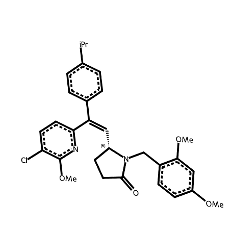 COc1ccc(CN2C(=O)CC[C@@H]2C=C(c2ccc(C(C)C)cc2)c2ccc(Cl)c(OC)n2)c(OC)c1